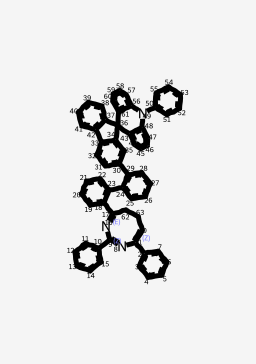 C1=C(c2ccccc2)/N=C(c2ccccc2)\N=C(\c2ccccc2-c2ccccc2-c2ccc3c(c2)C2(c4ccccc4-3)c3ccccc3N(c3ccccc3)c3ccccc32)CC\1